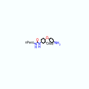 CCCCCNC(=O)Nc1ccc(Oc2ccc(N)cc2)c(OC)c1